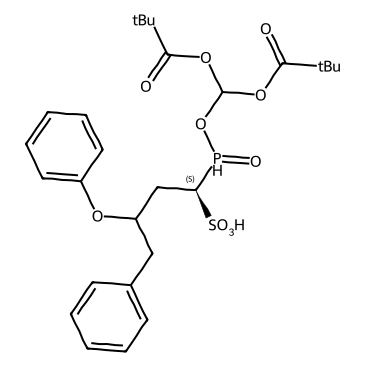 CC(C)(C)C(=O)OC(OC(=O)C(C)(C)C)O[PH](=O)[C@H](CC(Cc1ccccc1)Oc1ccccc1)S(=O)(=O)O